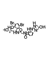 O=C(O)C[C@@H](NC(=O)CNC(=O)c1cccc(NC2=NCC(O)CN2)c1)c1cc(Br)cc(Br)c1O